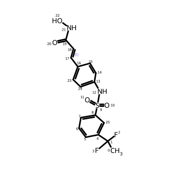 CC(F)(F)c1cccc(S(=O)(=O)Nc2ccc(/C=C/C(=O)NO)cc2)c1